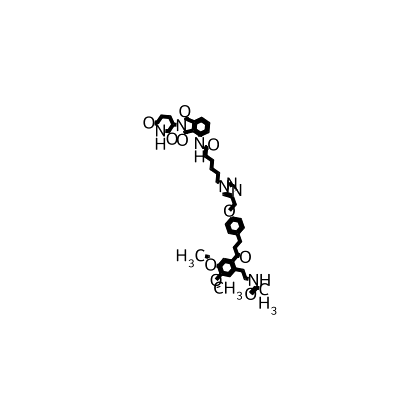 CCOc1cc(C(=O)CCc2ccc(OCc3cn(CCCCCC(=O)Nc4cccc5c4C(=O)N(C4CCC(=O)NC4=O)C5=O)nn3)cc2)c(CCNC(C)=O)cc1OC